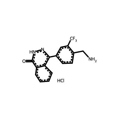 Cl.NCc1ccc(-c2n[nH]c(=O)c3ccccc23)cc1C(F)(F)F